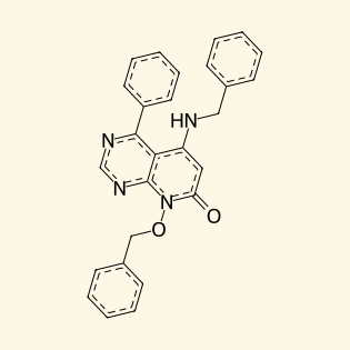 O=c1cc(NCc2ccccc2)c2c(-c3ccccc3)ncnc2n1OCc1ccccc1